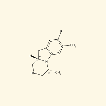 Cc1cc2c(cc1F)C[C@H]1CNC[C@@H](C)N21